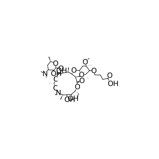 CC[C@H]1OC(=O)[C@H](C)[C@@H](OC2C[C@@](C)(OC)[C@@H](OCCCC(=O)O)[C@H](C)O2)[C@H](C)[C@@H](O[C@@H]2O[C@H](C)C[C@H](N(C)C)[C@H]2O)[C@](C)(O)C[C@@H](C)CN(C)[C@H](C)[C@H](O)[C@]1(C)O